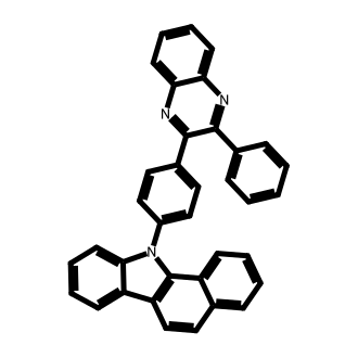 c1ccc(-c2nc3ccccc3nc2-c2ccc(-n3c4ccccc4c4ccc5ccccc5c43)cc2)cc1